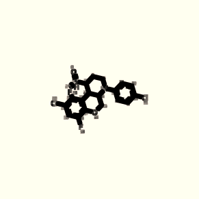 O=[SH](=O)C1CCN(c2ccc(Cl)cc2)C2COc3c(F)cc(Cl)c(F)c3C21